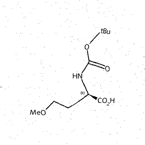 COCC[C@@H](NC(=O)OC(C)(C)C)C(=O)O